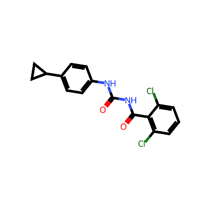 O=C(NC(=O)c1c(Cl)cccc1Cl)Nc1ccc(C2CC2)cc1